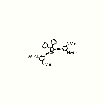 CNc1cc(C#CC2=C(c3ccccc3)C(c3ccccc3)=C(C#Cc3cc(NC)cc(NC)c3)[Si]2(C)C)cc(NC)c1